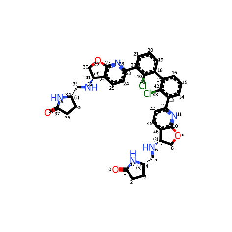 O=C1CC[C@@H](CN[C@H]2COc3nc(-c4cccc(-c5cccc(-c6ccc7c(n6)OC[C@@H]7NC[C@@H]6CCC(=O)N6)c5Cl)c4Cl)ccc32)N1